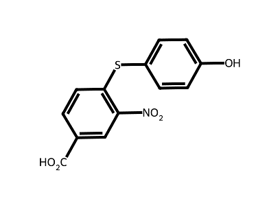 O=C(O)c1ccc(Sc2ccc(O)cc2)c([N+](=O)[O-])c1